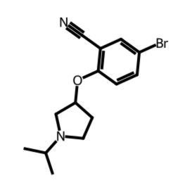 CC(C)N1CCC(Oc2ccc(Br)cc2C#N)C1